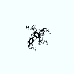 [CH2]c1ccc(Oc2cc(OCC)c(OCC)c(OCC)c2)cc1